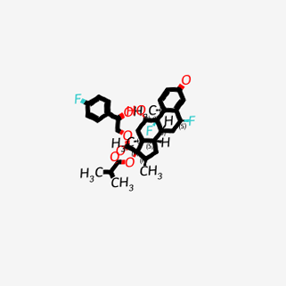 CC(C)C(=O)O[C@]1(C(=O)OCC(=O)c2ccc(F)cc2)[C@H](C)C[C@H]2[C@@H]3C[C@H](F)C4=CC(=O)C=C[C@]4(C)[C@@]3(F)[C@@H](O)C[C@@]21C